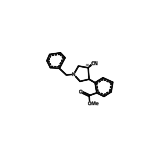 COC(=O)c1ccccc1C1CN(Cc2ccccc2)C[C@H]1C#N